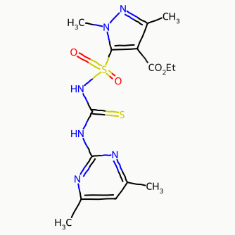 CCOC(=O)c1c(C)nn(C)c1S(=O)(=O)NC(=S)Nc1nc(C)cc(C)n1